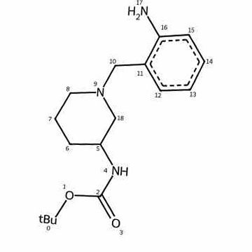 CC(C)(C)OC(=O)NC1CCCN(Cc2ccccc2N)C1